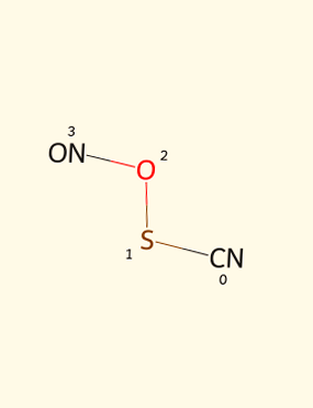 N#CSON=O